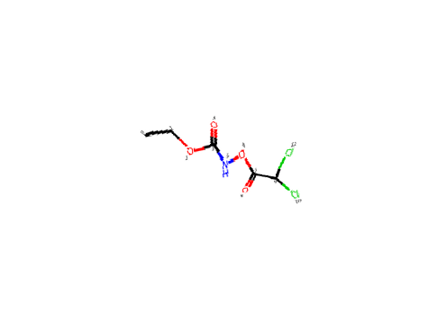 CCOC(=O)NOC(=O)C(Cl)Cl